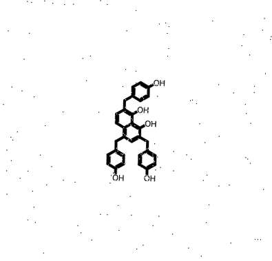 Oc1ccc(Cc2ccc3c(Cc4ccc(O)cc4)cc(Cc4ccc(O)cc4)c(O)c3c2O)cc1